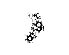 C[C@H](N)C(=O)N[C@H]1CC[C@H]2CC[C@@H](C(=O)NCc3ccccc3Br)N2C1=O